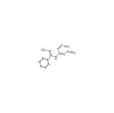 C=C/C=C(\C=C/C)N/C(=N/C)c1ccccc1